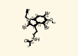 C#CCn1c(Br)c(CCNC(C)=O)c2c(Br)c(OC)c(Br)cc21